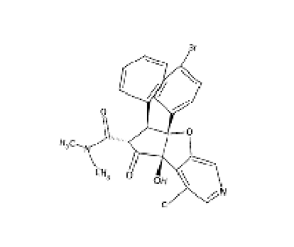 CN(C)C(=O)[C@H]1C(=O)[C@@]2(O)c3c(Cl)cncc3O[C@@]2(c2ccc(Br)cc2)[C@@H]1c1ccccc1